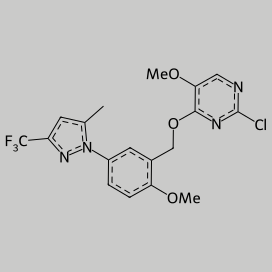 COc1ccc(-n2nc(C(F)(F)F)cc2C)cc1COc1nc(Cl)ncc1OC